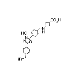 CC(C)Cc1ccc(-c2nnc(-c3ccc(CN[C@H]4C[C@@H](C(=O)O)C4)cc3)o2)cc1.Cl